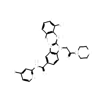 O=C(Nc1cc(Cl)ccn1)c1ccc2c(c1)nc(Nc1c(Cl)cccc1Cl)n2CC(=O)N1CCOCC1